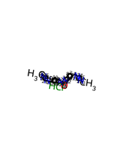 CN1CCN(Cc2ccc3c(c2)CN(C(=O)N2Cc4ccc(CN5CCN(C)CC5)cc4C2)C3)CC1.Cl